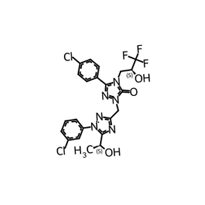 C[C@H](O)c1nc(Cn2nc(-c3ccc(Cl)cc3)n(C[C@H](O)C(F)(F)F)c2=O)nn1-c1cccc(Cl)c1